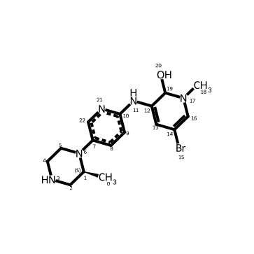 C[C@H]1CNCCN1c1ccc(NC2=CC(Br)=CN(C)C2O)nc1